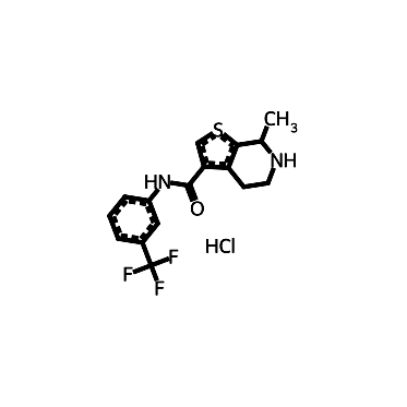 CC1NCCc2c(C(=O)Nc3cccc(C(F)(F)F)c3)csc21.Cl